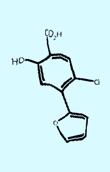 O=C(O)c1cc(Cl)c(-c2ccco2)cc1O